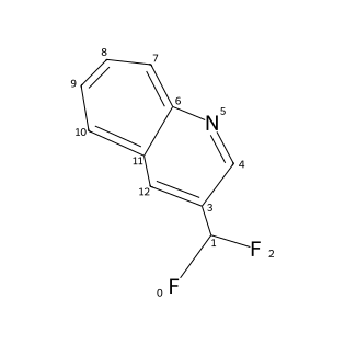 FC(F)c1cnc2ccccc2c1